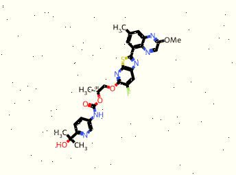 COc1cnc2c(-c3nc4cc(F)c(OC[C@@H](C)OC(=O)Nc5ccc(C(C)(C)O)nc5)nc4s3)cc(C)cc2n1